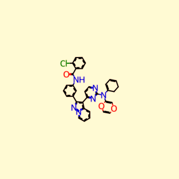 O=C(Nc1cccc(-c2nn3ccccc3c2-c2ccnc(N(C3=CC=CCC3)C3=COC=CO3)n2)c1)c1ccccc1Cl